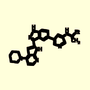 C=C(CC)Nc1cncc(-c2ccc3[nH]nc(-c4cc5c(N6CCCCC6)ccnc5[nH]4)c3c2)c1